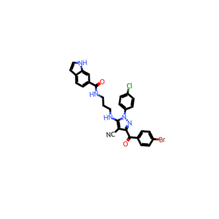 N#Cc1c(C(=O)c2ccc(Br)cc2)nn(-c2ccc(Cl)cc2)c1NCCCNC(=O)c1ccc2cc[nH]c2c1